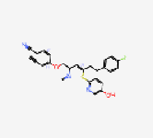 C#C/C=C(\C=C/CC#N)OCC(/C=C(/CCc1ccc(F)cc1)Sc1ccc(O)cn1)N=C